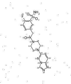 NS(=O)(=O)c1cc(CC(=O)N2CCN(c3ccc4nncn4n3)CC2)ccc1F